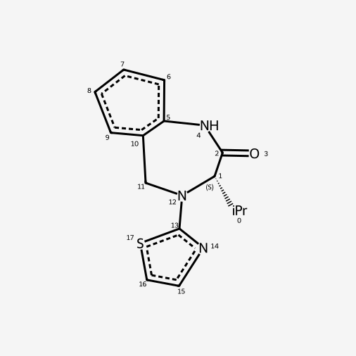 CC(C)[C@H]1C(=O)Nc2ccccc2CN1c1nccs1